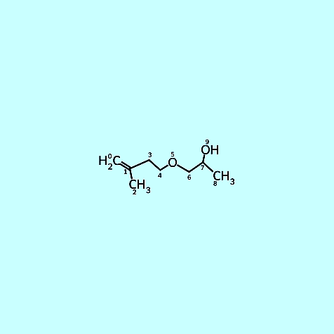 C=C(C)CCOCC(C)O